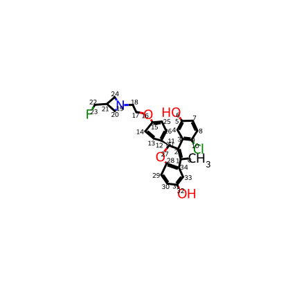 CC1=C(c2cc(O)ccc2Cl)[C@H](c2ccc(OCCN3CC(CF)C3)cc2)Oc2ccc(O)cc21